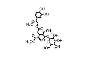 C/C=C1\C(OC2OC(CO)C(O)C(O)C2O)OC=C(C(=O)OC)C1CC(=O)OCC(OC)c1ccc(O)c(O)c1